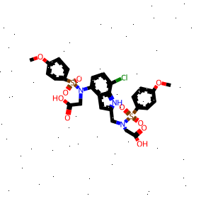 COc1ccc(S(=O)(=O)N(CC(=O)O)Cc2cc3c(N(CC(=O)O)S(=O)(=O)c4ccc(OC)cc4)ccc(Cl)c3[nH]2)cc1